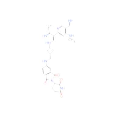 CNc1cc(/C(=C/NC2CC(CNc3ccc4c(c3)C(=O)N(C3CCC(=O)NC3=O)C4=O)C2)C(=N)C2CC2)ncc1C=N